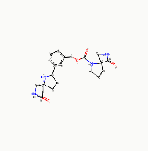 O=C(OCc1cccc(C2CCC3(CNC3=O)N2)c1)N1CCCC12CNC2=O